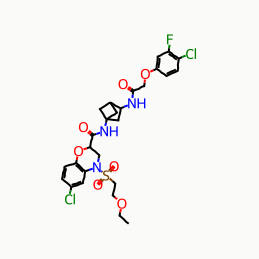 CCOCCS(=O)(=O)N1CC(C(=O)NC23CC(C2)C(NC(=O)COc2ccc(Cl)c(F)c2)C3)Oc2ccc(Cl)cc21